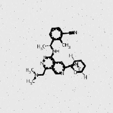 Cc1c(C#N)cccc1[C@@H](C)Nc1nnc(CN(C)C)c2cnc(N3C[C@H]4CC[C@@H]3CO4)cc12